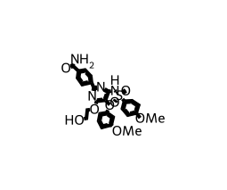 COc1ccc(S(=O)(=O)Nc2nc(-c3ccc(C(N)=O)cc3)nc(OCCO)c2Oc2cccc(OC)c2)cc1